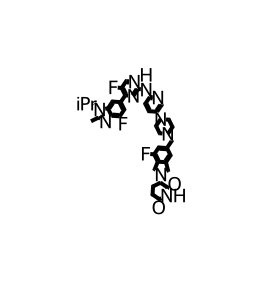 Cc1nc2c(F)cc(-c3nc(Nc4ccc(N5CCN(Cc6cc(F)c7c(c6)CN(C6CCC(=O)NC6=O)C7)CC5)cn4)ncc3F)cc2n1C(C)C